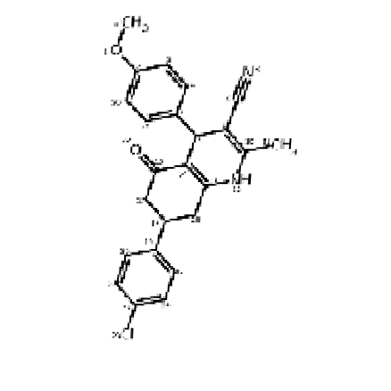 COc1ccc(C2C(C#N)=C(C)NC3=C2C(=O)CC(c2ccc(Cl)cc2)C3)cc1